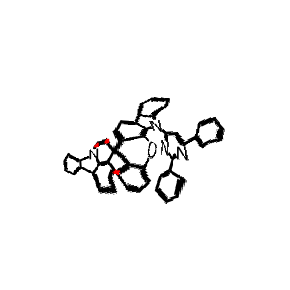 c1ccc(-c2cc(-n3c4ccccc4c4ccc5c(c43)Oc3ccccc3C53c4ccccc4-n4c5ccccc5c5cccc3c54)nc(-c3ccccc3)n2)cc1